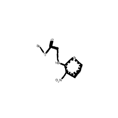 CC(C)(C)OC(=O)CNc1ncccc1[N+](=O)[O-]